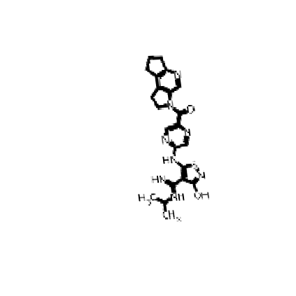 CC(C)NC(=N)c1c(O)nsc1Nc1cnc(C(=O)N2CCc3c2cnc2c3CCC2)cn1